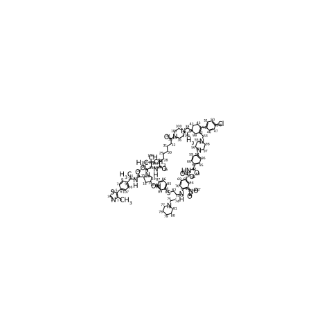 Cc1ncsc1-c1ccc([C@H](C)NC(=O)[C@@H]2C[C@@H](O)CN2C(=O)[C@@H](NC(=O)CCCCCCC(=O)N2CCN(C[C@]3(C)CCC(c4ccc(Cl)cc4)=C(CN4CCN(c5ccc(C(=O)NS(=O)(=O)c6ccc(N[C@H](CCN7CCCCC7)CSc7ccccc7)c([N+](=O)[O-])c6)cc5)CC4)C3)CC2)C(C)(C)C)cc1